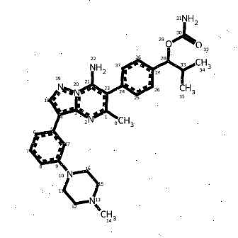 Cc1nc2c(-c3cccc(N4CCN(C)CC4)c3)cnn2c(N)c1-c1ccc(C(OC(N)=O)C(C)C)cc1